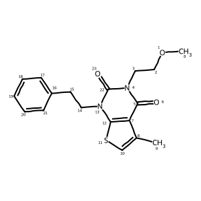 COCCn1c(=O)c2c(C)csc2n(CCc2ccccc2)c1=O